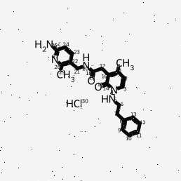 Cc1ccn(NCCc2ccccc2)c(=O)c1CC(=O)NCc1ccc(N)nc1C.Cl